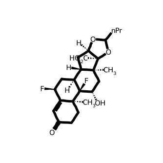 CCCC1O[C@@H]2C[C@H]3[C@@H]4C[C@H](F)C5=CC(=O)CC[C@]5(C)[C@@]4(F)[C@@H](O)C[C@]3(C)[C@]2(C(=O)O)O1